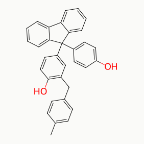 Cc1ccc(Cc2cc(C3(c4ccc(O)cc4)c4ccccc4-c4ccccc43)ccc2O)cc1